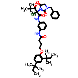 CCC(C)(C)c1ccc(OCCCC(=O)Nc2cccc(NC(=O)C(Cl)(C(=O)C(C)(C)C)N3C(=O)CN(Cc4ccccc4)C3=O)c2)c(C(C)(C)CC)c1